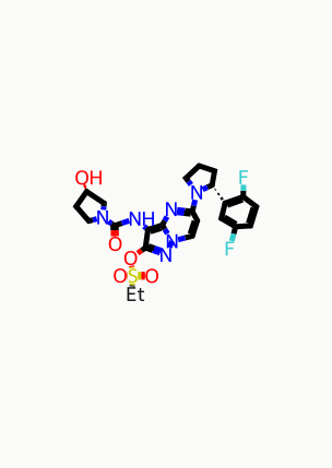 CCS(=O)(=O)Oc1nn2ccc(N3CCC[C@@H]3c3cc(F)ccc3F)nc2c1NC(=O)N1CC[C@H](O)C1